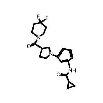 O=C(Nc1cccc(N2CCC(C(=O)N3CCC(F)(F)CC3)C2)c1)C1CC1